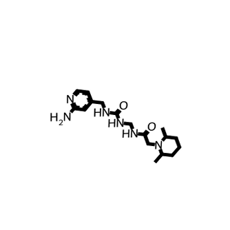 CC1CCCC(C)N1CC(=O)NCNC(=O)NCc1ccnc(N)c1